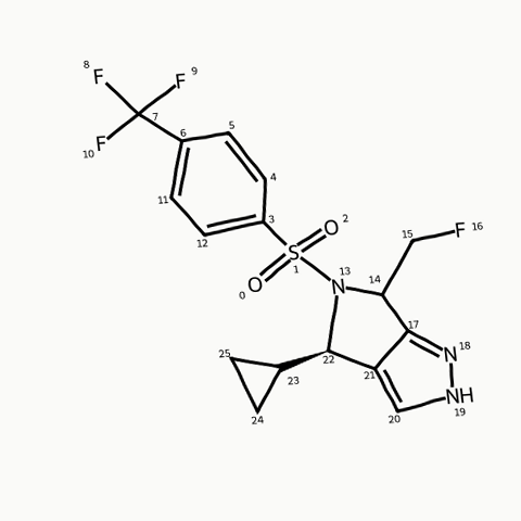 O=S(=O)(c1ccc(C(F)(F)F)cc1)N1C(CF)c2n[nH]cc2[C@H]1C1CC1